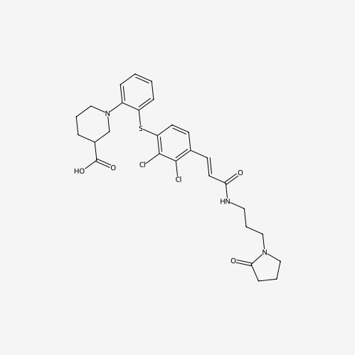 O=C(C=Cc1ccc(Sc2ccccc2N2CCCC(C(=O)O)C2)c(Cl)c1Cl)NCCCN1CCCC1=O